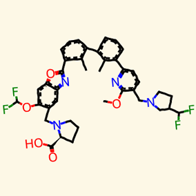 COc1nc(-c2cccc(-c3cccc(-c4nc5cc(CN6CCC[C@H]6C(=O)O)c(OC(F)F)cc5o4)c3C)c2C)ccc1CN1CCC(C(F)F)C1